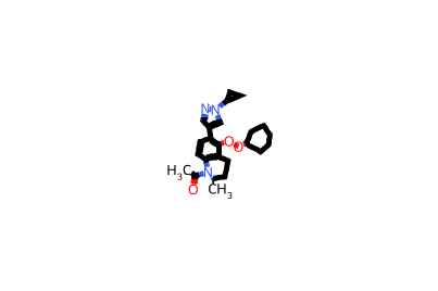 CC(=O)N1c2ccc(-c3cnn(C4CC4)c3)c(OOC3CCCCC3)c2CC[C@@H]1C